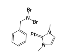 BrN(Br)Cc1ccccc1.Cn1ccn(C)[c]1=[Pt]